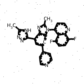 Cc1nnc(-c2cc(-c3ccncc3)cc3c2nc(C)n3-c2ccnc3c(F)ccc(F)c23)[nH]1